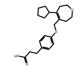 O=C(O)CCc1ccc(OCC2=C(C3CCCC3)CCOCC2)cc1